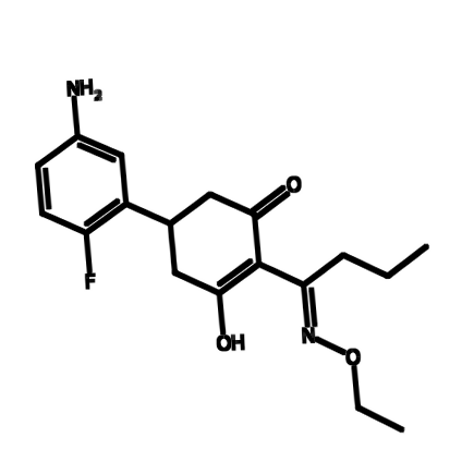 CCC/C(=N\OCC)C1=C(O)CC(c2cc(N)ccc2F)CC1=O